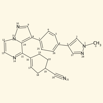 Cn1cc(-c2ccc(-c3cnn4ccnc(C5=CCC(C#N)CC5)c34)cc2)cn1